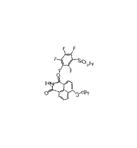 CCCOc1ccc2c3c(cccc13)C(=O)NC2=O.O=S(=O)(O)c1c(F)c(F)c(F)c(F)c1F